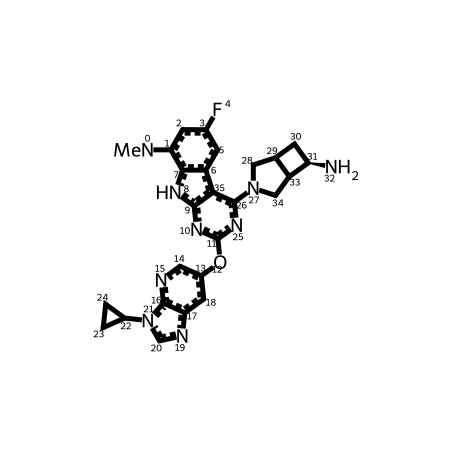 CNc1cc(F)cc2c1[nH]c1nc(Oc3cnc4c(c3)ncn4C3CC3)nc(N3CC4C[C@@H](N)C4C3)c12